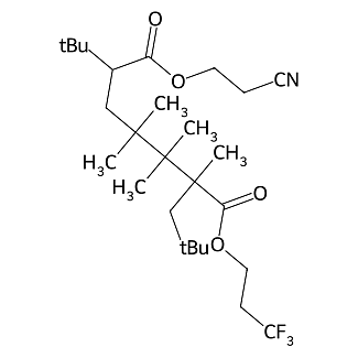 CC(C)(C)CC(C)(C(=O)OCCC(F)(F)F)C(C)(C)C(C)(C)CC(C(=O)OCCC#N)C(C)(C)C